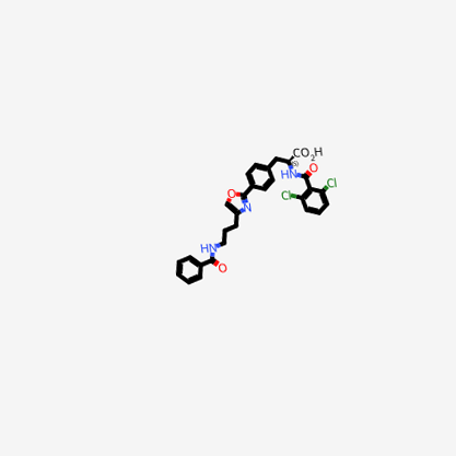 O=C(NCCCc1coc(-c2ccc(C[C@H](NC(=O)c3c(Cl)cccc3Cl)C(=O)O)cc2)n1)c1ccccc1